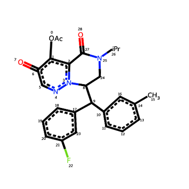 CC(=O)Oc1c2n(ncc1=O)C(C(c1cccc(C)c1)c1cccc(F)c1)CN(C(C)C)C2=O